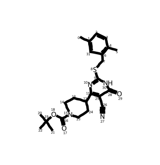 Cc1ccc(C)c(CSc2nc(C3CCN(C(=O)OC(C)(C)C)CC3)c(C#N)c(=O)[nH]2)c1